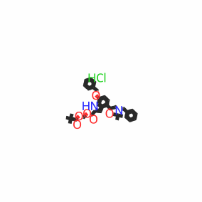 CC(C)(C)C(=O)OCOC(=O)c1cc2c(C(=O)CN(Cc3ccccc3)C(C)(C)C)ccc(OCc3ccccc3)c2[nH]1.Cl